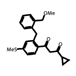 COCc1ccccc1Cc1cc(SC)ccc1C(=O)CC(=O)C1CC1